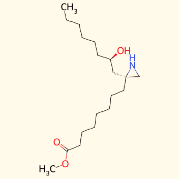 CCCCCC[C@@H](O)C[C@@]1(CCCCCCCC(=O)OC)CN1